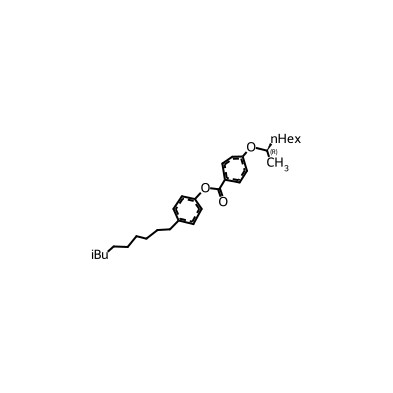 CCCCCC[C@@H](C)Oc1ccc(C(=O)Oc2ccc(CCCCCCC(C)CC)cc2)cc1